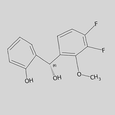 COc1c([C@H](O)c2ccccc2O)ccc(F)c1F